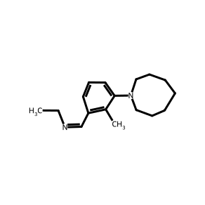 CC/N=C\c1cccc(N2CCCCCCC2)c1C